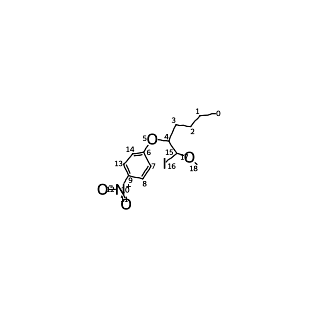 CCCCC(Oc1ccc([N+](=O)[O-])cc1)C(I)OC